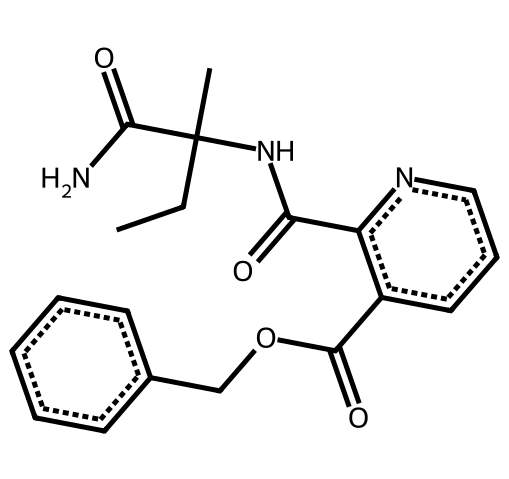 CCC(C)(NC(=O)c1ncccc1C(=O)OCc1ccccc1)C(N)=O